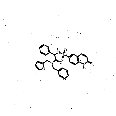 O=C(C(NS(=O)(=O)c1ccc2[nH]c(=O)ccc2c1)c1ccccc1)N(Cc1cccnc1)Cc1ccco1